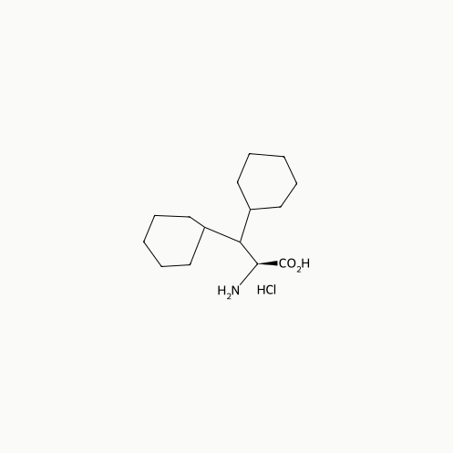 Cl.N[C@H](C(=O)O)C(C1CCCCC1)C1CCCCC1